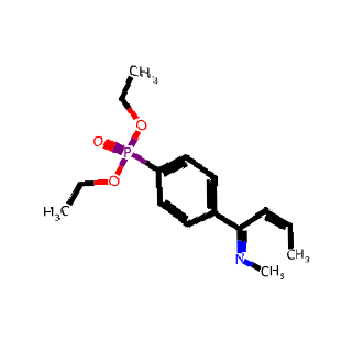 C/C=C\C(=N/C)c1ccc(P(=O)(OCC)OCC)cc1